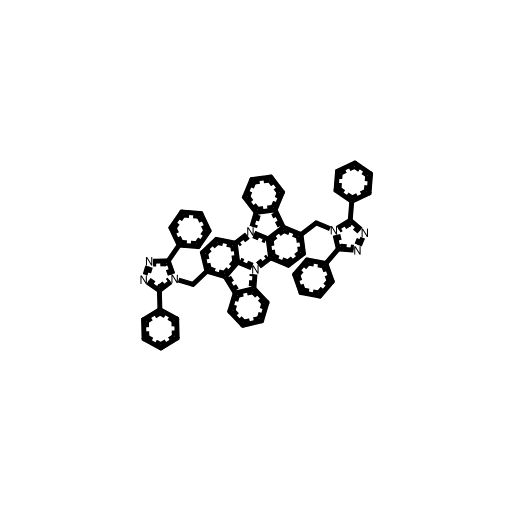 c1ccc(-c2nnc(-c3ccccc3)n2Cc2ccc3c4c2c2ccccc2n4c2ccc(Cn4c(-c5ccccc5)nnc4-c4ccccc4)c4c5ccccc5n3c42)cc1